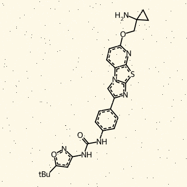 CC(C)(C)c1cc(NC(=O)Nc2ccc(-c3cn4c(n3)sc3nc(OCC5(N)CC5)ccc34)cc2)no1